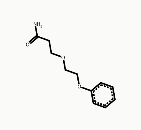 NC(=O)CCOCCOc1ccccc1